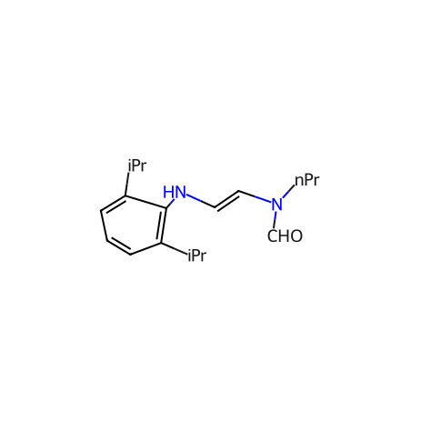 CCCN(C=O)C=CNc1c(C(C)C)cccc1C(C)C